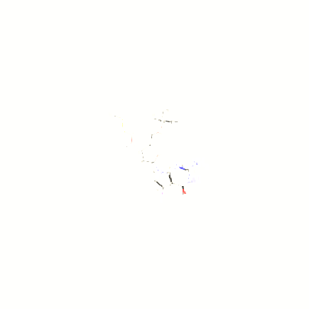 CC(C)(C)SSCO[C@H]1C[C@H](n2cc(I)c3c(=O)[nH]c(N)nc32)O[C@@H]1CO[Si](C)(C)C(C)(C)C